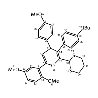 COc1ccc(C2C=C(c3cc(OC)ccc3OC)OC(C3SCCCS3)=C2c2ccc(C(C)(C)C)cc2)cc1